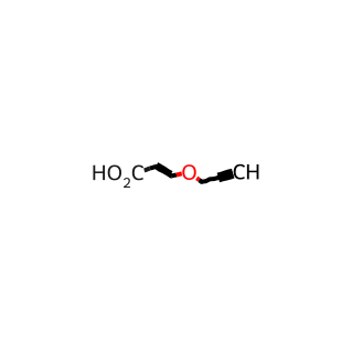 C#CCOC=CC(=O)O